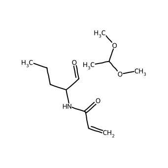 C=CC(=O)NC(C=O)CCC.COC(C)OC